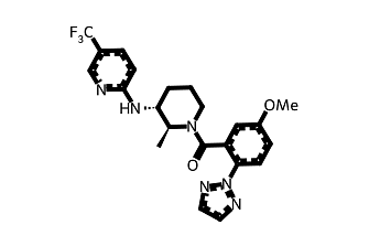 COc1ccc(-n2nccn2)c(C(=O)N2CCC[C@@H](Nc3ccc(C(F)(F)F)cn3)[C@@H]2C)c1